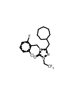 O=c1n(CC(F)(F)F)nc(CC2CCCCCC2)n1Cc1c(F)cccc1Cl